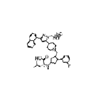 CCn1nc(-c2cccc3ccccc23)cc1C1CCN(CC2CC(N(C)[C@H](CC(C)C)C(=O)O)CC2c2cccc(F)c2)CC1.Cl.Cl.Cl